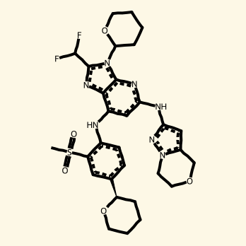 CS(=O)(=O)c1cc([C@H]2CCCCO2)ccc1Nc1cc(Nc2cc3n(n2)CCOC3)nc2c1nc(C(F)F)n2C1CCCCO1